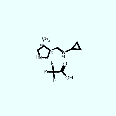 C[C@H]1CNC[C@@H]1CNC1CC1.O=C(O)C(F)(F)F